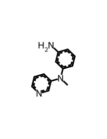 CN(c1cccnc1)c1cccc(N)c1